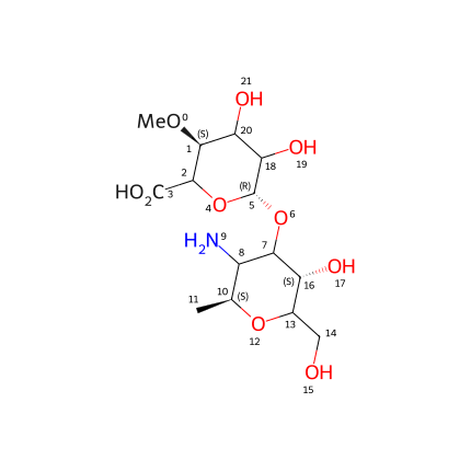 CO[C@@H]1C(C(=O)O)O[C@@H](OC2C(N)[C@H](C)OC(CO)[C@H]2O)C(O)C1O